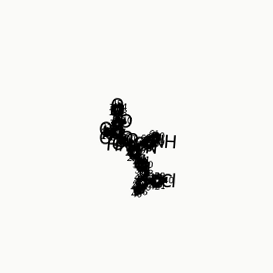 O=C(NS(=O)(=O)C1=CC2C(=O)N(C3CCOCC3)CC2C([N+](=O)[O-])=C1)c1ccc(N2CCN(CC3=C(c4ccc(Cl)cc4)CC4(CCC4)CC3)CC2)cc1Oc1cnc2[nH]ccc2c1